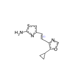 Nc1nc(/C=C/c2ncoc2C2CC2)cs1